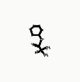 CC(C)C(C)(C)C(=O)OC1CCCCC1